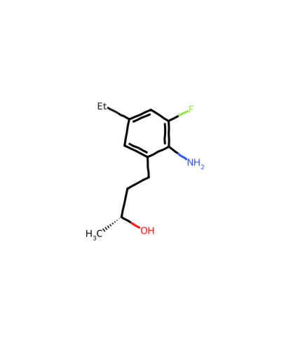 CCc1cc(F)c(N)c(CC[C@@H](C)O)c1